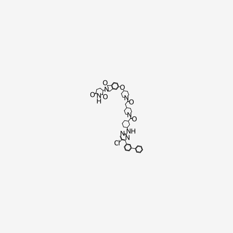 O=C1CCC(N2Cc3cc(OC4CCN(C(=O)CC5CCN(C(=O)C6CCCC(Nc7ncc(Cl)c(-c8cccc(-c9ccccc9)c8)n7)C6)CC5)CC4)ccc3C2=O)C(=O)N1